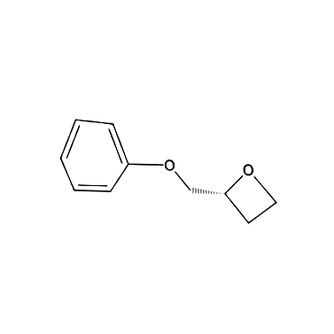 c1ccc(OC[C@H]2CCO2)cc1